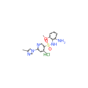 COc1cccc(N)c1NS(=O)(=O)c1cnc(-n2cnc(C)c2)cc1C.Cl